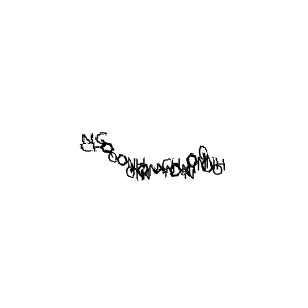 CC1(CN2CCC(n3ncc4c(N5CCC(=O)NC5=O)cccc43)CC2)CN(c2ccc(C(=O)N[C@H]3CC[C@H](Oc4ccc(C#N)c(Cl)c4)CC3)nn2)C1